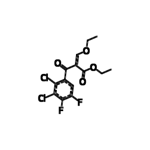 CCO/C=C(\C(=O)OCC)C(=O)c1cc(F)c(F)c(Cl)c1Cl